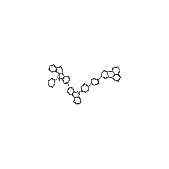 c1ccc(-n2c3cc(-c4ccc5c6ccccc6n(-c6ccc(-c7ccc(-c8ccc9c(c8)-c8cccc%10cccc-9c8%10)cc7)cc6)c5c4)ccc3c3ccc4ccccc4c32)cc1